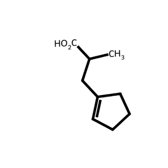 CC(CC1=CCCC1)C(=O)O